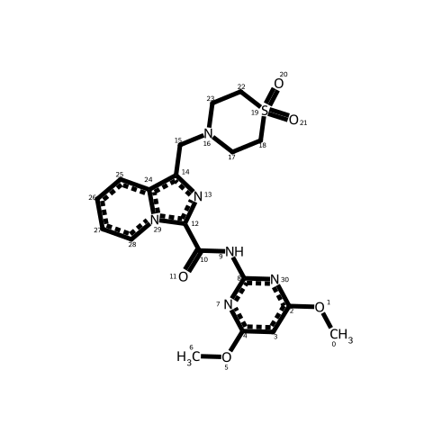 COc1cc(OC)nc(NC(=O)c2nc(CN3CCS(=O)(=O)CC3)c3ccccn23)n1